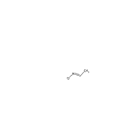 CC=N[O]